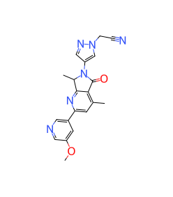 COc1cncc(-c2cc(C)c3c(n2)C(C)N(c2cnn(CC#N)c2)C3=O)c1